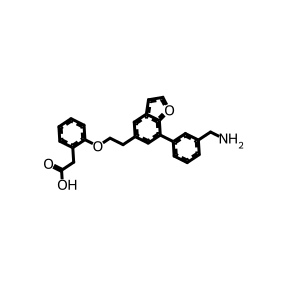 NCc1cccc(-c2cc(CCOc3ccccc3CC(=O)O)cc3ccoc23)c1